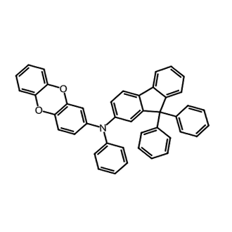 c1ccc(N(c2ccc3c(c2)Oc2ccccc2O3)c2ccc3c(c2)C(c2ccccc2)(c2ccccc2)c2ccccc2-3)cc1